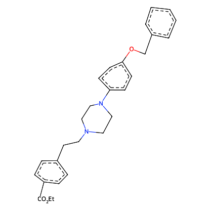 CCOC(=O)c1ccc(CCN2CCN(c3ccc(OCc4ccccc4)cc3)CC2)cc1